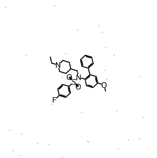 CCN1CCC(CN(c2ccc(OC)cc2-c2ccccc2)S(=O)(=O)c2ccc(F)cc2)CC1